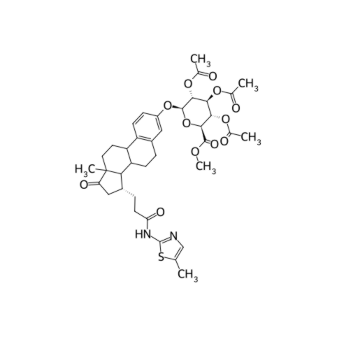 COC(=O)[C@H]1O[C@@H](Oc2ccc3c(c2)CCC2C3CCC3(C)C(=O)C[C@@H](CCC(=O)Nc4ncc(C)s4)C23)[C@H](OC(C)=O)[C@@H](OC(C)=O)[C@@H]1OC(C)=O